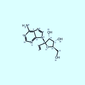 C=C[C@@]1(n2cnc3c(N)ncnc32)O[C@H](CO)[C@@H](O)[C@H]1O